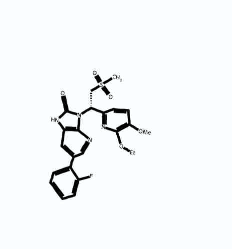 CCOc1nc([C@@H](CS(C)(=O)=O)n2c(=O)[nH]c3cc(-c4ccccc4F)cnc32)ccc1OC